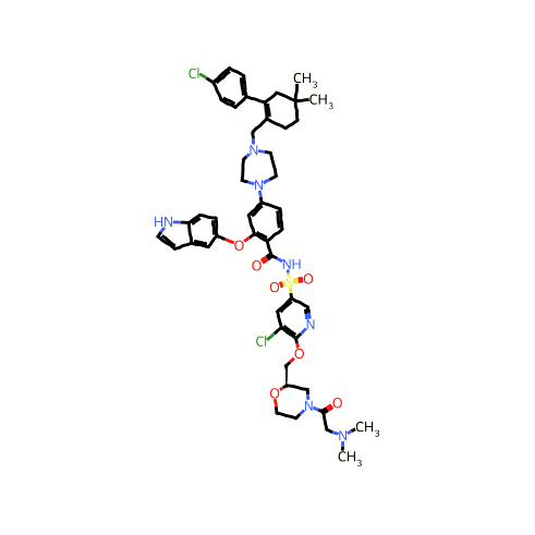 CN(C)CC(=O)N1CCO[C@@H](COc2ncc(S(=O)(=O)NC(=O)c3ccc(N4CCN(CC5=C(c6ccc(Cl)cc6)CC(C)(C)CC5)CC4)cc3Oc3ccc4[nH]ccc4c3)cc2Cl)C1